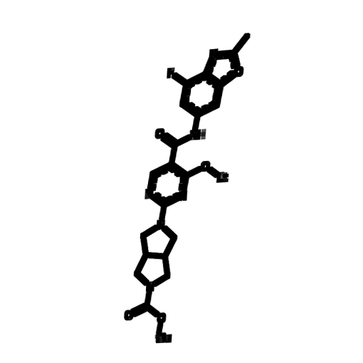 CCOc1nc(N2CC3CN(C(=O)OC(C)(C)C)CC3C2)ncc1C(=O)Nc1cc(F)c2nc(C)oc2c1